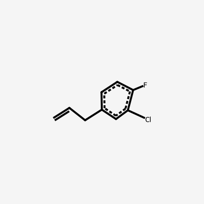 C=CCc1ccc(F)c(Cl)c1